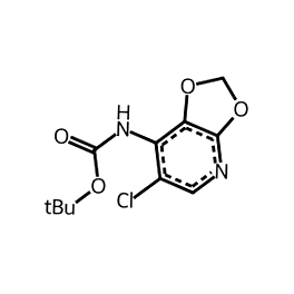 CC(C)(C)OC(=O)Nc1c(Cl)cnc2c1OCO2